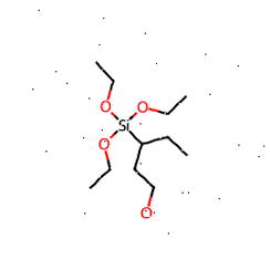 CCO[Si](OCC)(OCC)C(CC)CC[O]